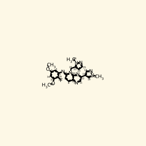 COc1cc(/N=c2\ccc3ncc(-c4cnn(C)c4)nc3n2Cc2ccnn2C)c(F)c(OC)c1